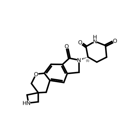 O=C1CC[C@H](N2Cc3cc4c(cc3C2=O)OCC2(CNC2)C4)C(=O)N1